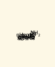 CCCCCCCN(C(N)=O)c1ccccc1C(=O)NC1CCN(C(=O)Oc2ccccc2)CC1